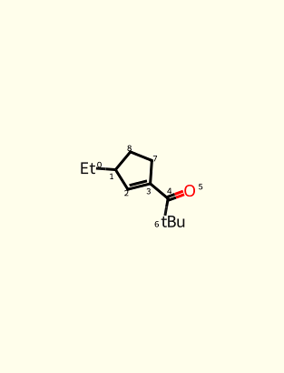 CCC1C=C(C(=O)C(C)(C)C)CC1